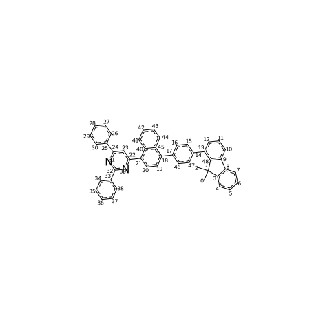 CC1(C)c2ccccc2-c2cccc(-c3ccc(-c4ccc(-c5cc(-c6ccccc6)nc(-c6ccccc6)n5)c5ccccc45)cc3)c21